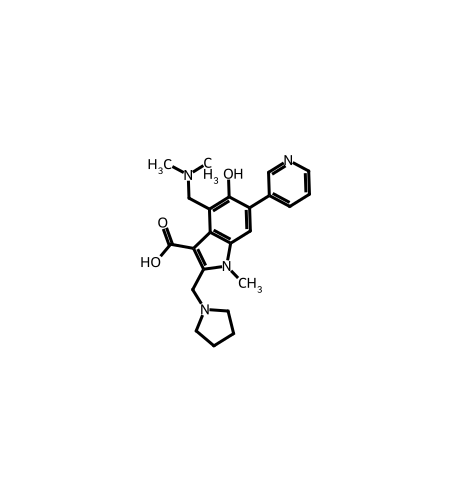 CN(C)Cc1c(O)c(-c2cccnc2)cc2c1c(C(=O)O)c(CN1CCCC1)n2C